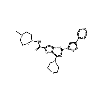 CN1CCCC(NC(=O)c2cc3nc(-n4cc(-c5ccccc5)cn4)nc(N4CCOCC4)c3o2)CC1